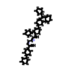 N=C(/C=C\C=C\Nc1ccc(-c2ccc3c(c2)c2ccccc2n3-c2ccccc2)cc1-c1ccccc1)c1ccc(-c2ccccc2)cc1